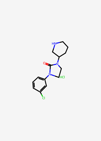 Cl.O=C1N(c2cccc(Cl)c2)CCN1C1CCCNC1